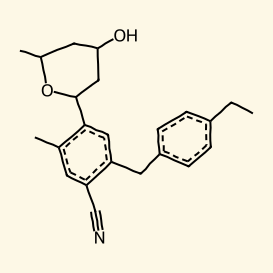 CCc1ccc(Cc2cc(C3CC(O)CC(C)O3)c(C)cc2C#N)cc1